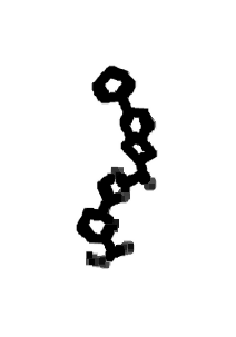 COC(=O)c1cccc(-c2cnc(C(=O)C3Cc4ccc(-c5ccccc5)cc4C3)o2)n1